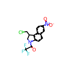 O=C(N1CC(CCl)c2c1ccc1cc([N+](=O)[O-])ccc21)C(F)(F)F